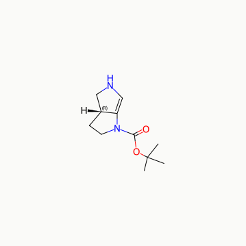 CC(C)(C)OC(=O)N1CC[C@@H]2CNC=C21